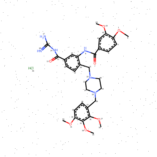 COc1ccc(C(=O)Nc2cc(C(=O)NC(=N)N)ccc2CN2CCN(Cc3ccc(OC)c(OC)c3OC)CC2)cc1OC.Cl